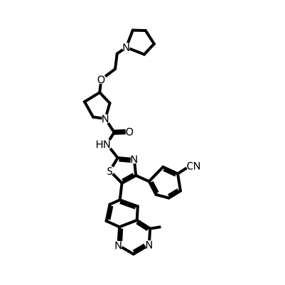 Cc1ncnc2ccc(-c3sc(NC(=O)N4CCC(OCCN5CCCC5)C4)nc3-c3cccc(C#N)c3)cc12